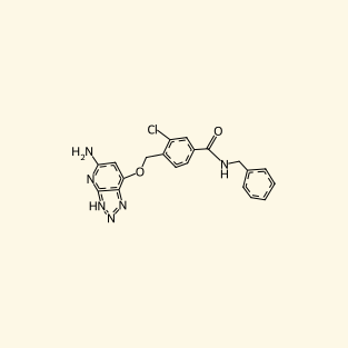 Nc1cc(OCc2ccc(C(=O)NCc3ccccc3)cc2Cl)c2nn[nH]c2n1